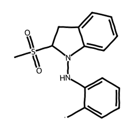 [CH2]c1ccccc1NN1c2ccccc2CC1S(C)(=O)=O